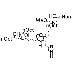 CCCCCCCCCC(O)CN(CCCCOC(=O)C(CCc1c[nH]cn1)NC(=O)CCCCCN(CC(O)CCCCCCCC)CC(O)CCCCCCCC)CC(CCCCCCCC)OC